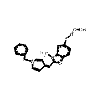 C[n+]1c(C=C2C=CN(Cc3ccccc3)C=C2)sc2ccc(SOOO)cc21